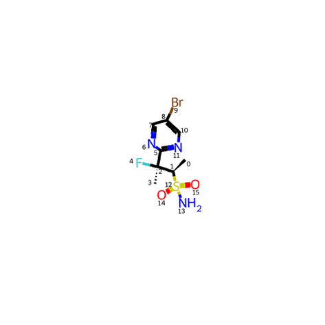 C[C@H]([C@@](C)(F)c1ncc(Br)cn1)S(N)(=O)=O